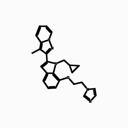 Cc1c(-c2cc3cccc(OCCn4ccnc4)c3n2CC2CC2)nn2c[c]ccc12